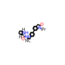 CC(C)N1C(=O)Cc2ccc(-c3ccc(C[C@@H](C#N)NC(=O)[C@H]4N[C@@H]5CC[C@H]4C5)cc3)cc21